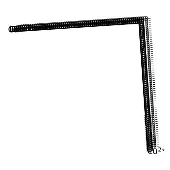 [Cu+2].[Cu+2].[O-2].[O-2].[O-2].[O-2].[O-2].[O-2].[O-2].[O-2].[O-2].[O-2].[O-2].[O-2].[O-2].[O-2].[O-2].[O-2].[O-2].[O-2].[O-2].[O-2].[O-2].[O-2].[O-2].[O-2].[O-2].[O-2].[O-2].[O-2].[O-2].[O-2].[O-2].[O-2].[O-2].[O-2].[O-2].[O-2].[O-2].[O-2].[O-2].[O-2].[O-2].[O-2].[O-2].[O-2].[O-2].[O-2].[O-2].[O-2].[O-2].[O-2].[O-2].[O-2].[O-2].[O-2].[O-2].[O-2].[O-2].[O-2].[O-2].[O-2].[O-2].[O-2].[O-2].[O-2].[O-2].[O-2].[O-2].[O-2].[O-2].[O-2].[O-2].[O-2].[O-2].[O-2].[O-2].[O-2].[O-2].[O-2].[O-2].[O-2].[O-2].[O-2].[O-2].[O-2].[O-2].[O-2].[O-2].[O-2].[O-2].[O-2].[O-2].[O-2].[O-2].[O-2].[O-2].[O-2].[O-2].[O-2].[O-2].[O-2].[O-2].[O-2].[O-2].[O-2].[O-2].[O-2].[O-2].[O-2].[O-2].[O-2].[O-2].[O-2].[O-2].[O-2].[O-2].[O-2].[O-2].[O-2].[O-2].[O-2].[O-2].[O-2].[O-2].[O-2].[O-2].[O-2].[O-2].[O-2].[O-2].[O-2].[O-2].[O-2].[O-2]